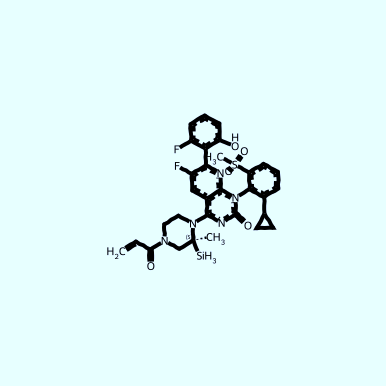 C=CC(=O)N1CCN(c2nc(=O)n(-c3c(C4CC4)cccc3S(C)(=O)=O)c3nc(-c4c(O)cccc4F)c(F)cc23)[C@@](C)([SiH3])C1